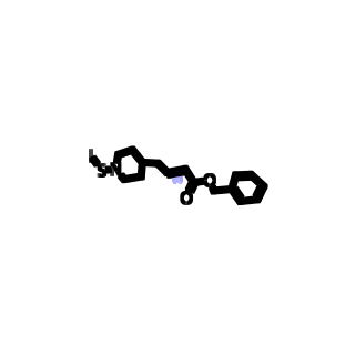 O=C(/C=C/CC1CCN(SI)CC1)OCc1ccccc1